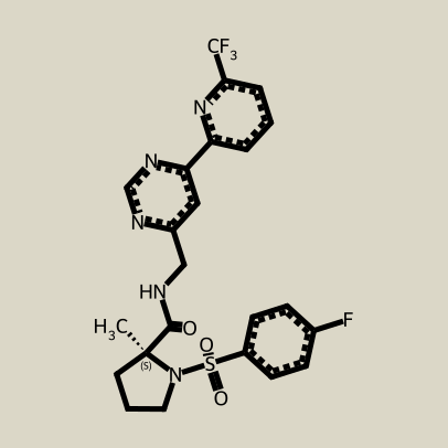 C[C@@]1(C(=O)NCc2cc(-c3cccc(C(F)(F)F)n3)ncn2)CCCN1S(=O)(=O)c1ccc(F)cc1